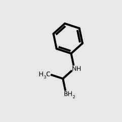 BC(C)Nc1ccccc1